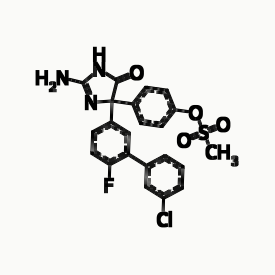 CS(=O)(=O)Oc1ccc(C2(c3ccc(F)c(-c4cccc(Cl)c4)c3)N=C(N)NC2=O)cc1